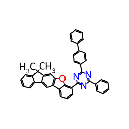 CC1(C)c2ccccc2-c2cc3c(cc21)oc1c(-c2nc(-c4ccccc4)nc(-c4ccc(-c5ccccc5)cc4)n2)cccc13